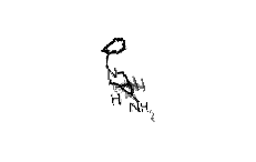 NC[C@H]1[C@H]2CN(Cc3ccccc3)C[C@@H]12